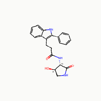 O=C(CCc1c(-c2ccccc2)[nH]c2ccccc12)N[C@@H]1C(=O)NC[C@H]1O